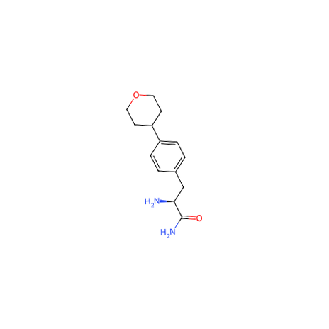 NC(=O)[C@@H](N)Cc1ccc(C2CCOCC2)cc1